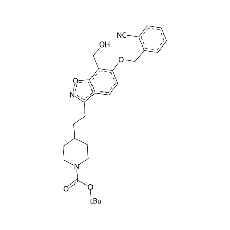 CC(C)(C)OC(=O)N1CCC(CCc2noc3c(CO)c(OCc4ccccc4C#N)ccc23)CC1